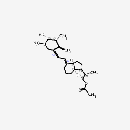 C=C1/C(=C\C=C2/CCC[C@]3(C)[C@@H]([C@H](C)COC(C)=O)CC[C@@H]23)C[C@@H](C)[C@H](C)[C@@H]1C